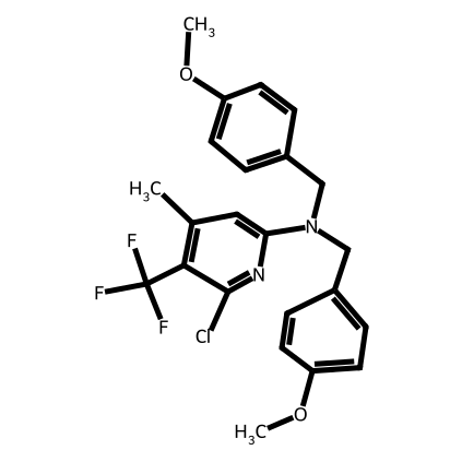 COc1ccc(CN(Cc2ccc(OC)cc2)c2cc(C)c(C(F)(F)F)c(Cl)n2)cc1